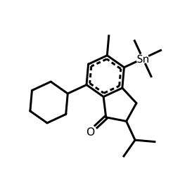 Cc1cc(C2CCCCC2)c2c([c]1[Sn]([CH3])([CH3])[CH3])CC(C(C)C)C2=O